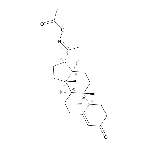 CC(=O)O/N=C(\C)[C@H]1CC[C@H]2[C@@H]3CCC4=CC(=O)CC[C@]4(C)[C@H]3CC[C@]12C